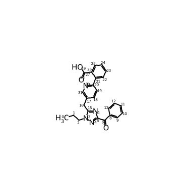 CCCn1nc(C(=O)c2ccccc2)nc1Cc1ccc(-c2ccccc2C(=O)O)nc1